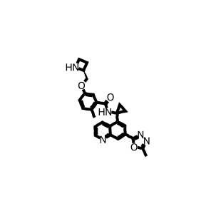 Cc1nnc(-c2cc(C3(NC(=O)c4cc(OC[C@@H]5CCN5)ccc4C)CC3)c3cccnc3c2)o1